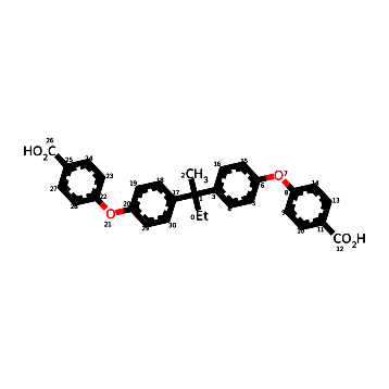 CCC(C)(c1ccc(Oc2ccc(C(=O)O)cc2)cc1)c1ccc(Oc2ccc(C(=O)O)cc2)cc1